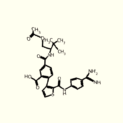 CC(=O)OCC(NC(=O)c1ccc(-c2ccsc2C(=O)Nc2ccc(C(=N)N)cc2)c(C(=O)O)c1)C(C)(C)C